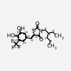 CCCC(CC)CN1C(=O)S/C(=C\c2cc(O)c(O)c(C(F)(F)F)c2)C1=O